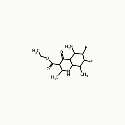 CCOC(=O)C1C(=O)C2C(N)C(F)C(F)C(C)C2NC1C